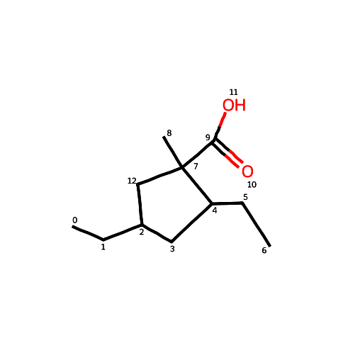 CCC1CC(CC)C(C)(C(=O)O)C1